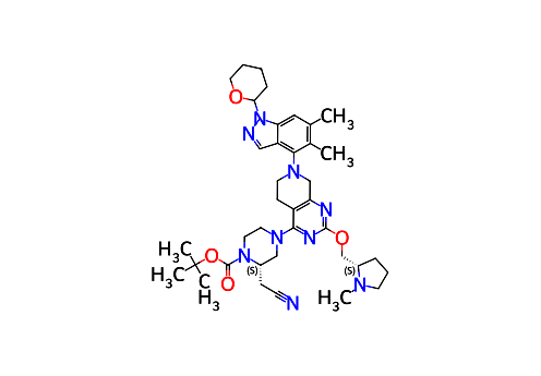 Cc1cc2c(cnn2C2CCCCO2)c(N2CCc3c(nc(OC[C@@H]4CCCN4C)nc3N3CCN(C(=O)OC(C)(C)C)[C@@H](CC#N)C3)C2)c1C